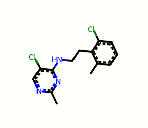 Cc1ncc(Cl)c(NCCc2c(C)cccc2Cl)n1